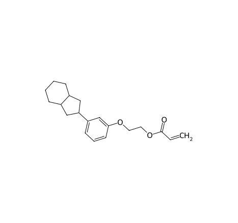 C=CC(=O)OCCOc1cccc(C2CC3CCCCC3C2)c1